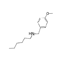 CCCCCCNCc1ccc(OC)cc1